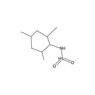 CC1CC(C)C(N[SH](=O)=O)C(C)C1